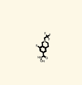 O=C(NO)c1cc(F)c2c(c1)CCN(CC(F)(F)F)C2